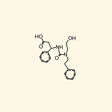 O=C(O)CC(NC(=O)N(CCO)CCc1ccccc1)c1ccccc1